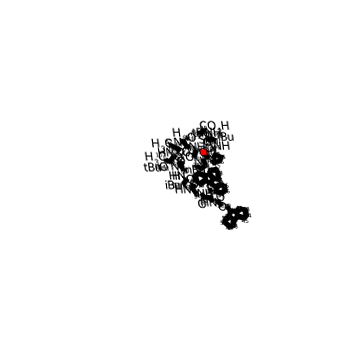 CCCC[C@H](NC(=O)[C@@H](NC(=O)CNC(=O)[C@H](CSC(c1ccccc1)(c1ccccc1)c1ccccc1)NC(=O)OCC1c2ccccc2-c2ccccc21)[C@@H](C)CC)C(=O)N[C@H](C(=O)N[C@@H](C)C(=O)N[C@@H](COC(C)(C)C)C(=O)N[C@H](C(=O)N1CCC[C@H]1C(=O)N1CCC[C@H]1C(=O)N[C@H](C(=O)N[C@@H](CS)C(=O)O)[C@@H](C)CC)[C@@H](C)CC)[C@@H](C)OC(C)(C)C